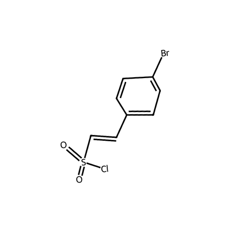 O=S(=O)(Cl)C=Cc1ccc(Br)cc1